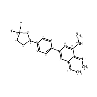 C/N=C1/C=C(c2ccc(N3CCC(F)(F)C3)cc2)N=C(NC)/C1=N/C